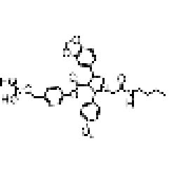 CCCCNC(=O)CN1CC(c2ccc3c(c2)OCO3)C(C(=O)Oc2ccc(CON(O)O)cc2)C1c1ccc(OC)cc1